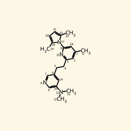 Cc1cc(CCc2cncc(N(C)C)c2)nc(-n2c(C)ccc2C)c1